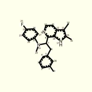 Cc1cccc(CC(c2nccc3c(C)c(C)[nH]c23)N(C)c2ccc(F)cc2)c1